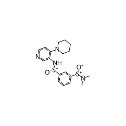 CN(C)[S+]([O-])c1cccc([S+]([O-])Nc2cnccc2N2CCCCC2)c1